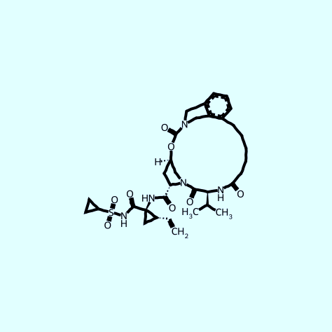 C=C[C@@H]1C[C@]1(NC(=O)[C@@H]1C[C@@H]2CN1C(=O)[C@H](C(C)C)NC(=O)CCCCCc1cccc3c1CN(C3)C(=O)O2)C(=O)NS(=O)(=O)C1CC1